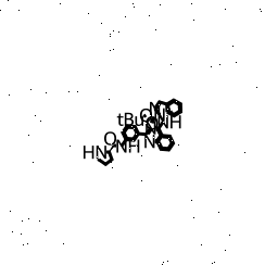 CC(C)(C)OC(=O)[N@@+]1(Nc2nc(-c3cccc(NC(=O)[C@H]4CCCN4)c3)nc3ccccc23)N=Cc2ccccc21